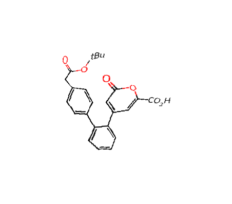 CC(C)(C)OC(=O)Cc1ccc(-c2ccccc2-c2cc(C(=O)O)oc(=O)c2)cc1